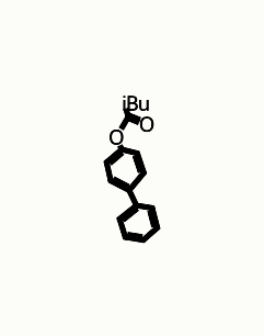 CCC(C)C(=O)Oc1ccc(-c2ccccc2)cc1